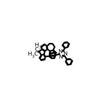 CC1(C)c2cccc(-c3ccc(-c4nc(-c5ccccc5)nc(-c5ccccc5)n4)cc3)c2-c2c1ccc1c2-c2ccccc2CCC1